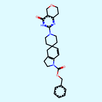 O=C(OCc1ccccc1)N1CCC2=C1C=CC1(CCN(c3nc4c(c(=O)[nH]3)COCC4)CC1)C2